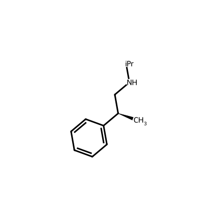 CC(C)NC[C@@H](C)c1ccccc1